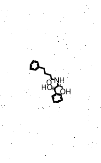 O=C(CCCc1ccccc1)N[C@@H](CO)[C@@H](O)c1ccccc1